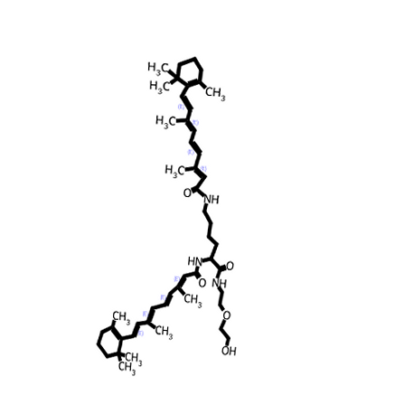 CC1=C(/C=C/C(C)=C/C=C/C(C)=C/C(=O)NCCCCC(NC(=O)/C=C(C)/C=C/C=C(C)/C=C/C2=C(C)CCCC2(C)C)C(=O)NCCOCCO)C(C)(C)CCC1